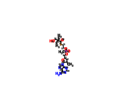 CC1CC(COP(C)(=O)OCCSC(=O)C(C)(C)CO)OC1n1cnc2c(N)ncnc21